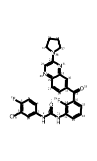 O=C(Nc1ccc(F)c(Cl)c1)Nc1cccc(C(=O)c2ccc3ncc(N4CCCC4)nc3c2)c1F